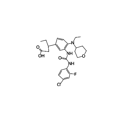 CCC(CC(=O)O)c1ccc(N(CC)C2CCOCC2)c(NC(=O)Nc2ccc(Cl)cc2F)c1